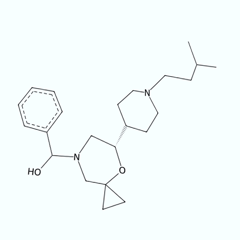 CC(C)CCN1CCC([C@H]2CN(C(O)c3ccccc3)CC3(CC3)O2)CC1